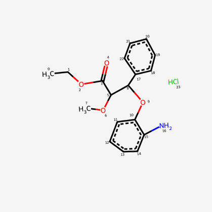 CCOC(=O)C(OC)C(Oc1ccccc1N)c1ccccc1.Cl